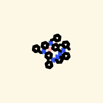 Cc1cccc(C)c1-n1c(-c2ccc3c(c2)B2c4cc5c(cc4N(Cc4ccccc4)c4cccc(c42)N3Cc2ccccc2)c2ccccc2n5-c2ccccn2)nc2ccccc21